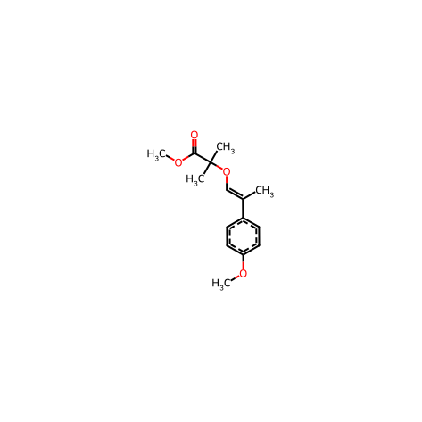 COC(=O)C(C)(C)OC=C(C)c1ccc(OC)cc1